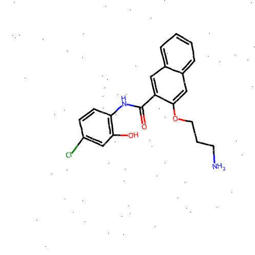 NCCCOc1cc2ccccc2cc1C(=O)Nc1ccc(Cl)cc1O